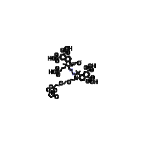 COCC[N+]1=C(/C=C/C=C2/N(CCOCCOCCC(=O)ON3C(=O)CCC3=O)c3ccc4c(S(=O)(=O)O)cc(S(=O)(=O)O)cc4c3C2(C)C)C(C)(CCCS(=O)(=O)O)c2c1ccc1c(S(=O)(=O)O)cc(S(=O)(=O)O)cc21